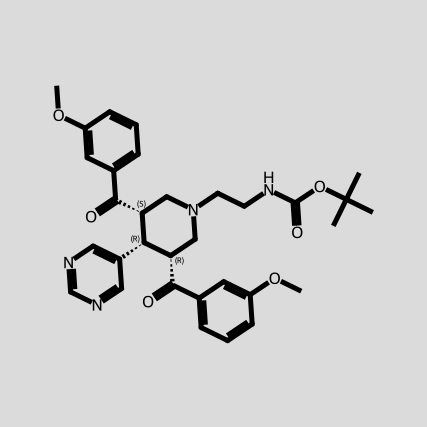 COc1cccc(C(=O)[C@H]2CN(CCNC(=O)OC(C)(C)C)C[C@@H](C(=O)c3cccc(OC)c3)[C@H]2c2cncnc2)c1